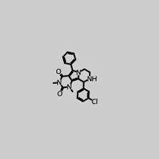 Cn1c(=O)c2c(-c3ccccc3)n3c(c2n(C)c1=O)C(c1cccc(Cl)c1)NCC3